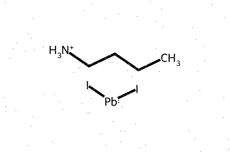 CCCC[NH3+].[I][Pb][I]